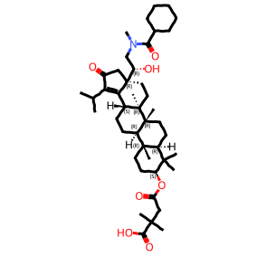 CC(C)C1=C2[C@H]3CC[C@@H]4[C@@]5(C)CC[C@H](OC(=O)CC(C)(C)C(=O)O)C(C)(C)[C@@H]5CC[C@@]4(C)[C@]3(C)CC[C@@]2([C@@H](O)CN(C)C(=O)C2CCCCC2)CC1=O